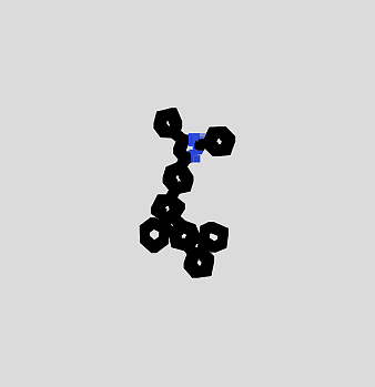 C1=C(c2ccccc2)NC(c2ccccc2)N=C1c1ccc(-c2ccc3c(c2)-c2cc4c(cc2C32CCCCC2)-c2ccccc2C42CCCCC2)cc1